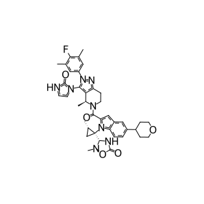 Cc1cc(-n2nc3c(c2-n2cc[nH]c2=O)[C@H](C)N(C(=O)c2cc4cc(C5CCOCC5)ccc4n2[C@@]2(C4NC(=O)ON4C)C[C@@H]2C)CC3)cc(C)c1F